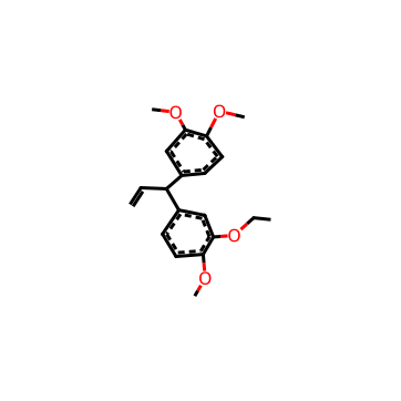 C=CC(c1ccc(OC)c(OC)c1)c1ccc(OC)c(OCC)c1